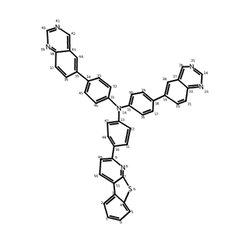 c1ccc2c(c1)sc1nc(-c3ccc(N(c4ccc(-c5ccc6ncncc6c5)cc4)c4ccc(-c5ccc6ncncc6c5)cc4)cc3)ccc12